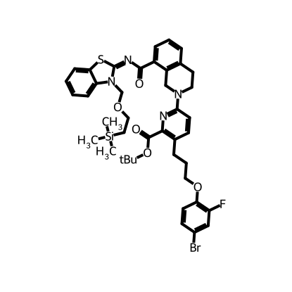 CC(C)(C)OC(=O)c1nc(N2CCc3cccc(C(=O)N=c4sc5ccccc5n4COCC[Si](C)(C)C)c3C2)ccc1CCCOc1ccc(Br)cc1F